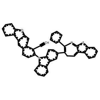 C#Cc1c(-n2c3ccccc3c3cc(C4=C(c5ccccc5)N=c5sc6ccccc6c5=CC4)ccc32)ccc2cc3c(cc12)oc1ccccc13